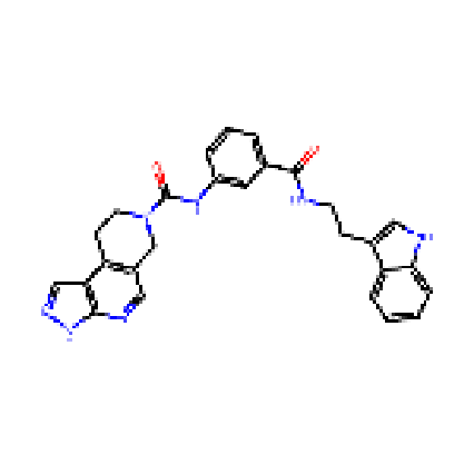 O=C(NCCc1c[nH]c2ccccc12)c1cccc(NC(=O)N2CCc3c(cnc4[nH]ncc34)C2)c1